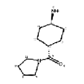 [NH][C@H]1CC[C@H](C(=O)N2CCCC2)CC1